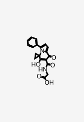 O=C(O)CNC(=O)C1=C(O)C2(CC2)n2c(ccc2-c2ccccc2)C1=O